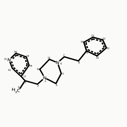 CC(CN1CCN(CCc2ccccc2)CC1)c1cccnc1